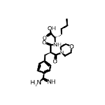 CCCC[C@H](NC(=O)[C@H](Cc1ccc(C(=N)N)cc1)C(=O)N1CCOCC1)C(=O)O